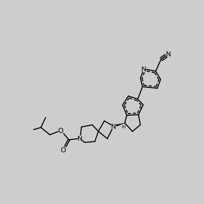 CC(C)COC(=O)N1CCC2(CC1)CN([C@@H]1CCc3cc(-c4ccc(C#N)nc4)ccc31)C2